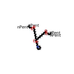 CCCCCC(CCCCC)CCOC(=O)CCCCCCCCC(CCCCCCCCC(=O)OCCC(CCCCC)CCCCC)C(=O)OCCCN1CCCCC1